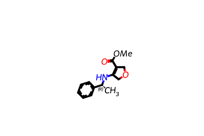 COC(=O)C1=C(N[C@H](C)c2ccccc2)COC1